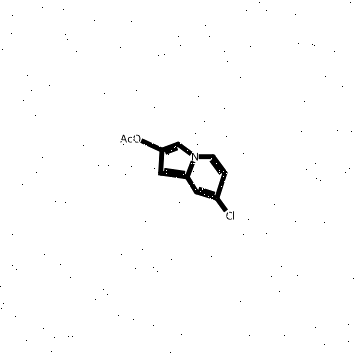 CC(=O)Oc1cc2cc(Cl)ccn2c1